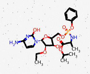 CCO[C@@H]1[C@H](O)C(COP(=O)(NC(C)C(=O)OC(C)C)Oc2ccccc2)O[C@H]1N1C=CC(N)=NC1O